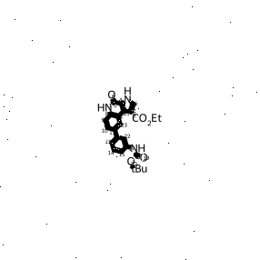 CCOC(=O)c1c[nH]c2c(=O)[nH]c3ccc(-c4cccc(NC(=O)OC(C)(C)C)c4)cc3c12